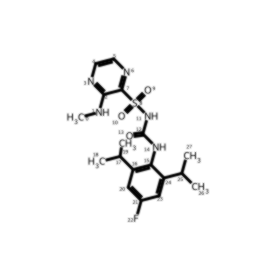 CNc1nccnc1S(=O)(=O)NC(=O)Nc1c(C(C)C)cc(F)cc1C(C)C